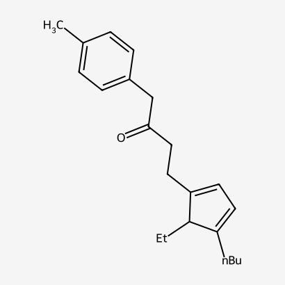 CCCCC1=CC=C(CCC(=O)Cc2ccc(C)cc2)C1CC